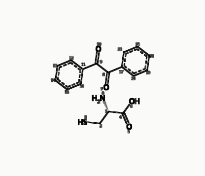 N[C@@H](CS)C(=O)O.O=C(C(=O)c1ccccc1)c1ccccc1